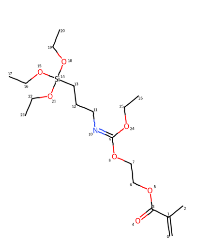 C=C(C)C(=O)OCCOC(=NCCC[Si](OCC)(OCC)OCC)OCC